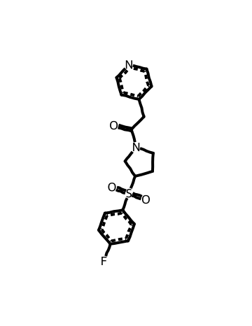 O=C(Cc1ccncc1)N1CCC(S(=O)(=O)c2ccc(F)cc2)C1